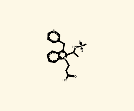 CC(NS(C)(=O)=O)c1c(Cc2cccnc2)c2ccccc2n1CCC(=O)O